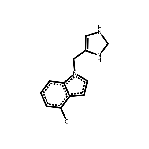 Clc1cccc2c1ccn2CC1=CNCN1